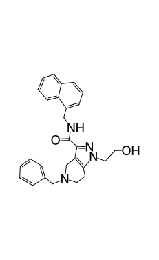 O=C(NCc1cccc2ccccc12)c1nn(CCO)c2c1CN(Cc1ccccc1)CC2